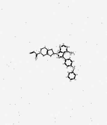 C=CC(=O)N1CCC2=C(CC(n3nc(-c4ccc(Oc5ccccc5)cc4)c4c(N)ncnc43)C2)C1